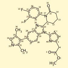 COC(=O)Cc1csc(-n2c(C3CCCC(=O)N3c3ccc(F)c(F)c3)nc3cc(-c4c(C)noc4C)ccc32)n1